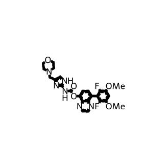 COc1cc(OC)c(F)c(-c2ccc(OC(=O)Nc3nc(CN4CCOCC4)c[nH]3)c3nccnc23)c1F